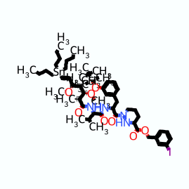 CCC[CH2][Sn]([CH]=C[C@H](OC)[C@H](C)[C@@H](OC)[C@@H](C)C(=O)NC(C(=O)NC(Cc1cccc(O[Si](C)(C)C(C)(C)C)c1)C(=O)N1CCCC(C(=O)OCc2cccc(I)c2)N1)C(C)C)([CH2]CCC)[CH2]CCC